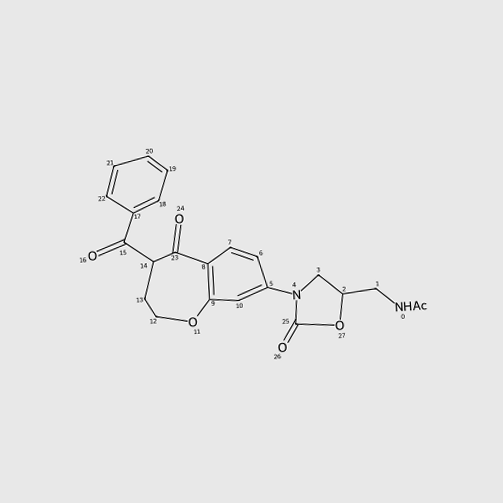 CC(=O)NCC1CN(c2ccc3c(c2)OCCC(C(=O)c2ccccc2)C3=O)C(=O)O1